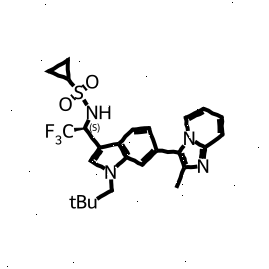 Cc1nc2ccccn2c1-c1ccc2c([C@H](NS(=O)(=O)C3CC3)C(F)(F)F)cn(CC(C)(C)C)c2c1